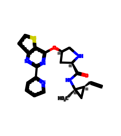 C=C[C@@H]1C[C@]1(NC(=O)[C@H]1C[C@@H](Oc2nc(-c3ccccn3)nc3ccsc23)CN1)C(=O)O